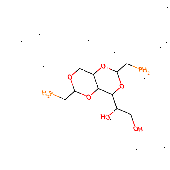 OCC(O)C1OC(CP)OC2COC(CP)OC21